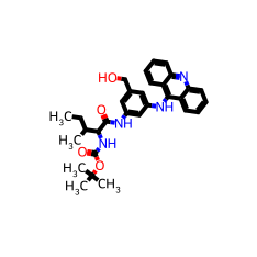 CCC(C)C(NC(=O)OC(C)(C)C)C(=O)Nc1cc(CO)cc(Nc2c3ccccc3nc3ccccc23)c1